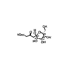 CCCCCCCCCCCC(=O)C[C@]1(O)O[C@H](CO)[C@@H](O)[C@H](O)[C@@H]1O